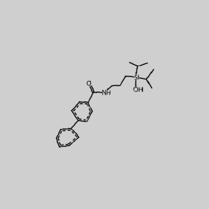 CC(C)[Si](O)(CCCNC(=O)c1ccc(-c2ccccc2)cc1)C(C)C